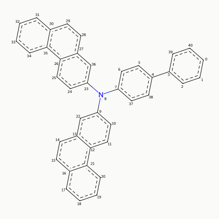 c1ccc(-c2ccc(N(c3ccc4c(ccc5ccccc54)c3)c3ccc4c(ccc5ccccc54)c3)cc2)cc1